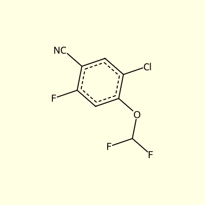 N#Cc1cc(Cl)c(OC(F)F)cc1F